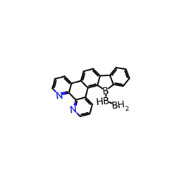 BBB1c2ccccc2-c2ccc3c4cccnc4c4ncccc4c3c21